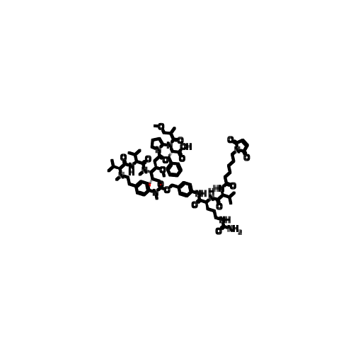 CC[C@H](C)[C@@H]([C@@H](CC(=O)N1CCCC1N(C(=O)C(C)COC)[C@@H](Cc1ccccc1)C(=O)O)OC)N(C)C(=O)[C@@H](NC(=O)[C@H](C(C)C)N(C)CCc1ccc(N(C)C(=O)OCc2ccc(NC(=O)[C@H](CCCNC(N)=O)NC(=O)[C@@H](NC(=O)CCCCCN3C(=O)C=CC3=O)C(C)C)cc2)cc1)C(C)C